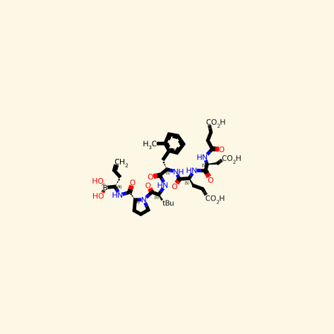 C=CC[C@H](NC(=O)[C@H]1CCCN1C(=O)[C@@H](NC(=O)[C@H](Cc1ccccc1C)NC(=O)[C@H](CCC(=O)O)NC(=O)[C@H](CC(=O)O)NC(=O)CCC(=O)O)C(C)(C)C)B(O)O